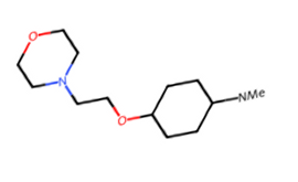 CNC1CCC(OCCN2CCOCC2)CC1